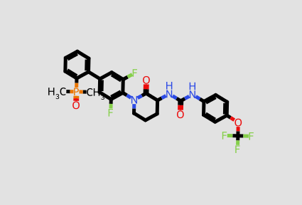 CP(C)(=O)c1ccccc1-c1cc(F)c(N2CCCC(NC(=O)Nc3ccc(OC(F)(F)F)cc3)C2=O)c(F)c1